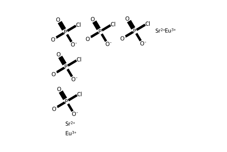 O=P([O-])([O-])Cl.O=P([O-])([O-])Cl.O=P([O-])([O-])Cl.O=P([O-])([O-])Cl.O=P([O-])([O-])Cl.[Eu+3].[Eu+3].[Sr+2].[Sr+2]